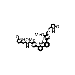 COc1nc(-c2cccc(-c3cccc(-c4cnc(CNCC5CCC(=O)N5)c(OC)n4)c3Cl)c2Cl)cnc1CNCCC1CCC(=O)N1